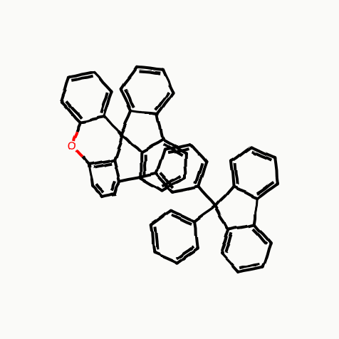 c1ccc(C2(c3cccc(-c4cccc5c4C4(c6ccccc6O5)c5ccccc5-c5ccccc54)c3)c3ccccc3-c3ccccc32)cc1